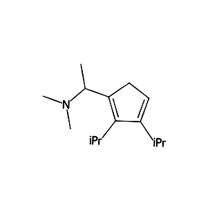 CC(C)C1=CCC(C(C)N(C)C)=C1C(C)C